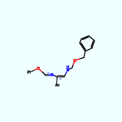 CC(=O)C(=C/NCOCc1ccccc1)/N=C/OC(C)C